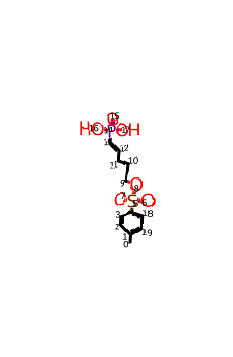 Cc1ccc(S(=O)(=O)OCCCC=CP(=O)(O)O)cc1